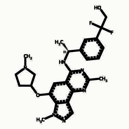 Cc1nc(N[C@H](C)c2cccc(C(F)(F)CO)c2)c2cc(OC3CCN(C)C3)c3c(cnn3C)c2n1